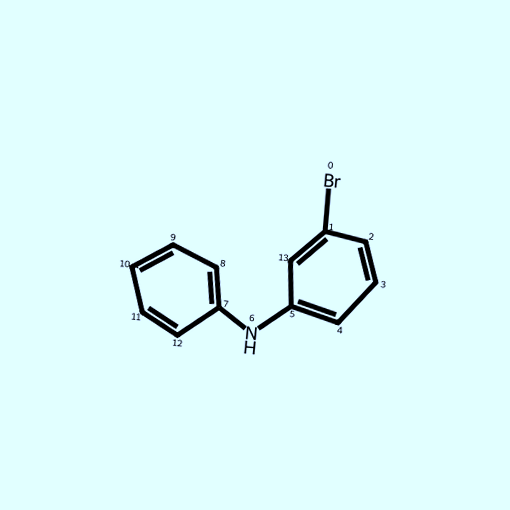 Brc1cccc(Nc2cc[c]cc2)c1